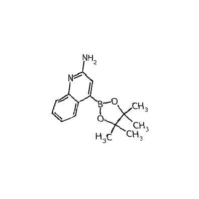 CC1(C)OB(c2cc(N)nc3ccccc23)OC1(C)C